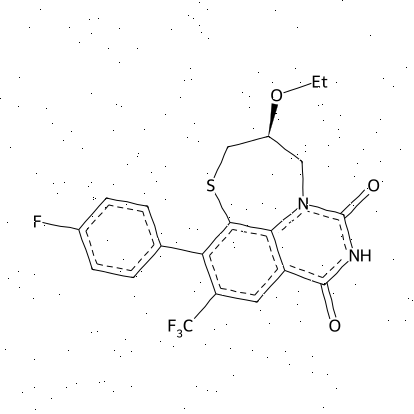 CCO[C@@H]1CSc2c(-c3ccc(F)cc3)c(C(F)(F)F)cc3c(=O)[nH]c(=O)n(c23)C1